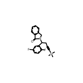 C[Si](C)(C)C#CCC(c1cc(F)ccc1F)N1Cc2ccccc2C1=O